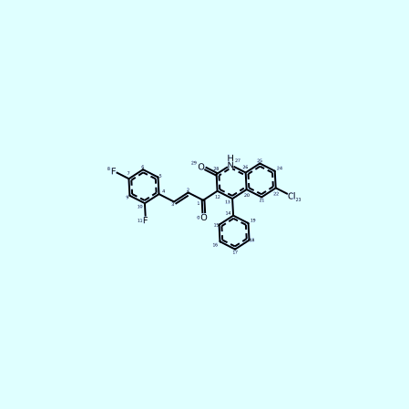 O=C(C=Cc1ccc(F)cc1F)c1c(-c2ccccc2)c2cc(Cl)ccc2[nH]c1=O